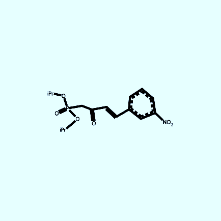 CC(C)OP(=O)(CC(=O)C=Cc1cccc([N+](=O)[O-])c1)OC(C)C